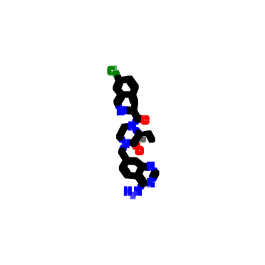 CC[C@H]1C(=O)N(Cc2ccc3c(N)ncnc3c2)CCN1C(=O)c1cc2ccc(Cl)cc2cn1